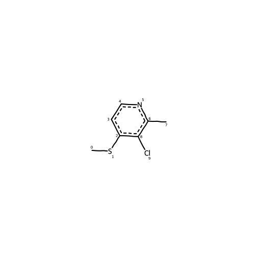 CSc1ccnc(C)c1Cl